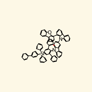 c1ccc(-c2ccc([Si](c3ccccc3)(c3ccccc3)c3cc(-c4ccccc4)c(-n4c5ccccc5c5cc(-n6c7ccccc7c7cccc(-c8cccc9c8oc8ccccc89)c76)ccc54)c(-c4ccccc4)c3)cc2)cc1